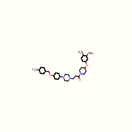 CC(C)COc1cc(OC2CCN(C(=O)CCN3CCN(c4ccc(OCc5ccc(C(F)(F)F)cc5)cc4)CC3)CC2)ccc1[N+](=O)[O-]